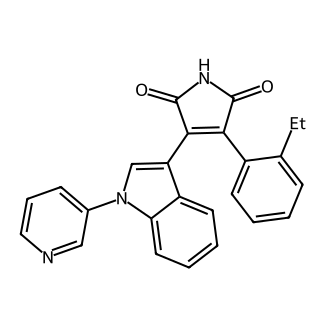 CCc1ccccc1C1=C(c2cn(-c3cccnc3)c3ccccc23)C(=O)NC1=O